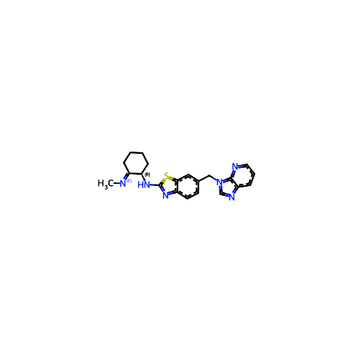 C/N=C1\CCCC[C@H]1Nc1nc2ccc(Cn3cnc4cccnc43)cc2s1